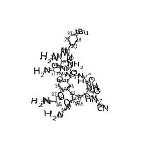 CC1NC(=O)C(N(C)C(=O)C(CCN)NC(=O)c2c(N)nc(-c3ccc(C(C)(C)C)cc3)nc2N)c2ccc(OCCN)c(c2)-c2cc(ccc2OCCN)CC(C(=O)NCC#N)NC1=O